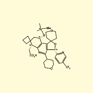 CC(C)(C)[Si](C)(C)O[C@H]1CC2(CCC2)[C@@H](CC(=O)O)c2nc(C3CCOCC3)c3c(c21)C1(CCOCC1)O[C@@H]3c1ccc(C(F)(F)F)cn1